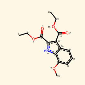 CCOC(=O)c1[nH]c2c(OC)cccc2c1C(=O)OCC